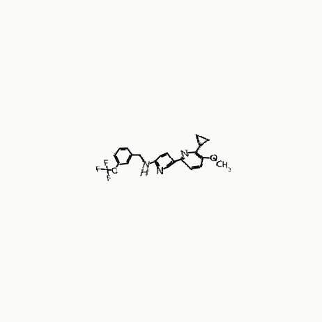 COc1ccc(-c2ccc(NCc3cccc(OC(F)(F)F)c3)nc2)nc1C1CC1